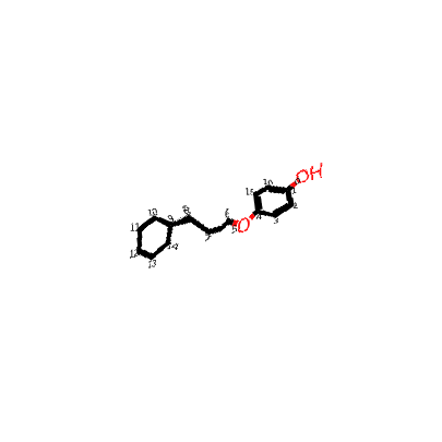 Oc1ccc(OCCCC2CCCCC2)cc1